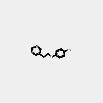 CC(C)(C)c1ccc(OCCc2cncnc2)cc1